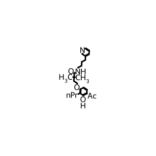 CCCc1c(OCCC(C)(C)C(=O)NCCCCc2cccnc2)ccc(C(C)=O)c1O